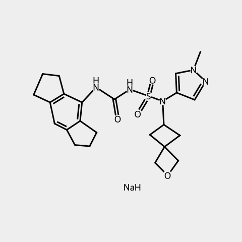 Cn1cc(N(C2CC3(COC3)C2)S(=O)(=O)NC(=O)Nc2c3c(cc4c2CCC4)CCC3)cn1.[NaH]